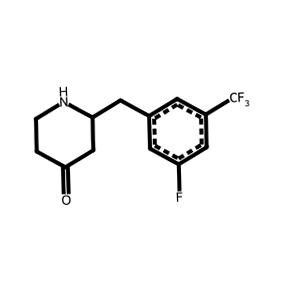 O=C1CCNC(Cc2cc(F)cc(C(F)(F)F)c2)C1